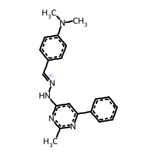 Cc1nc(N/N=C/c2ccc(N(C)C)cc2)cc(-c2ccccc2)n1